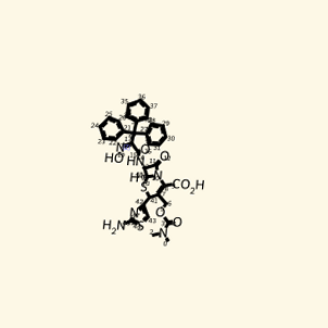 CN(C)C(=O)OCC1=C(C(=O)O)N2C(=O)C(NC(=O)/C(=N\O)C(c3ccccc3)(c3ccccc3)c3ccccc3)[C@@H]2SC1c1csc(N)n1